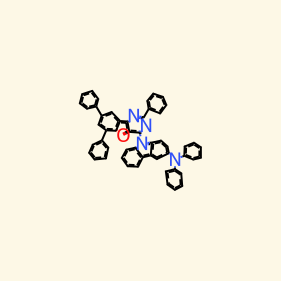 c1ccc(-c2cc(-c3ccccc3)c3oc4c(-n5c6ccccc6c6cc(N(c7ccccc7)c7ccccc7)ccc65)nc(-c5ccccc5)nc4c3c2)cc1